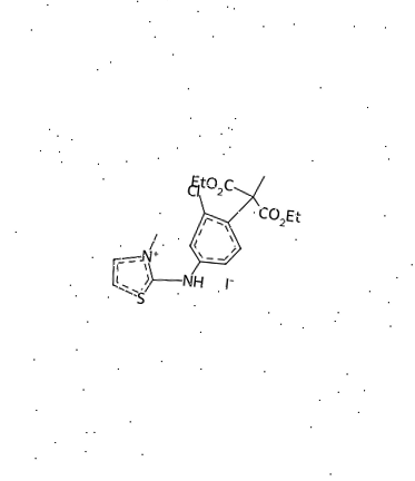 CCOC(=O)C(C)(C(=O)OCC)c1ccc(Nc2scc[n+]2C)cc1Cl.[I-]